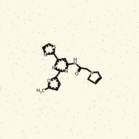 Cc1ccc(-c2nc(NC(=O)CN3CC=CC3)cc(-c3nccs3)n2)o1